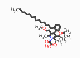 CCCCCCCCCCCCCCCc1cccc(OC(C)C)c1C1=C(CCOC)C(C)N(C(=O)C(=O)O)C(C)=C1CC